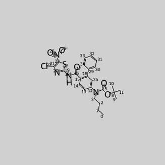 CCCCN(C(=O)OC(C)(C)C)c1ccc(C(=O)Nc2nc(Cl)c([N+](=O)[O-])s2)c(-c2ccccc2)c1